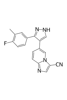 Cc1cc(-c2n[nH]cc2-c2ccc3ncc(C#N)n3c2)ccc1F